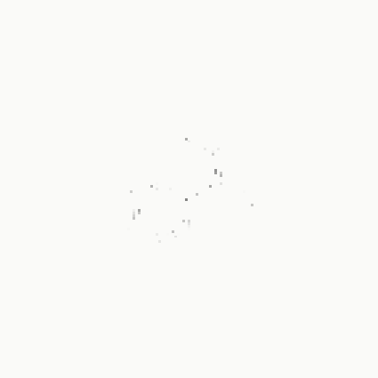 CCC(N)=C(CC)c1ccccc1